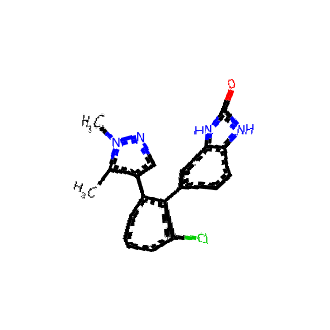 Cc1c(-c2cccc(Cl)c2-c2ccc3[nH]c(=O)[nH]c3c2)cnn1C